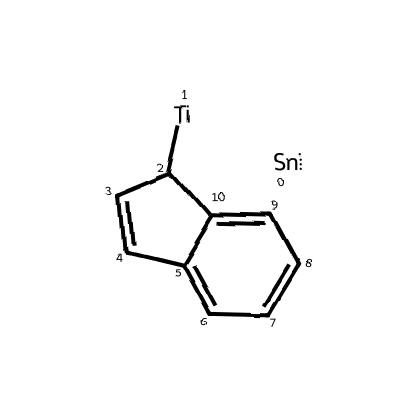 [Sn].[Ti][CH]1C=Cc2ccccc21